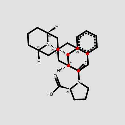 O=C(O)[C@@H]1CCCN1C(=O)CN(c1ccccc1)[C@H]1C[C@H]2CCC[C@@H](C1)N2[C@H]1C[C@@H]2CCC[C@@H](C2)C1